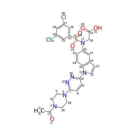 CC(=O)N1CCN(c2ccc(-n3ccc4cc(N(CC(=O)O)S(=O)(=O)c5cc(Cl)cc(Cl)c5)ccc43)nn2)CC1